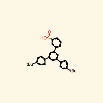 CC(C)(C)c1ccc(-c2cc(-c3ccc(C(C)(C)C)cc3)cc(-c3cccc(S(=O)O)c3)c2)cc1